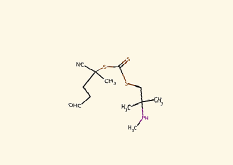 CPC(C)(C)CSC(=S)SC(C)(C#N)CCC=O